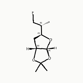 C[C@@H](CF)[C@@H]1C[C@H]2OC(C)(C)O[C@H]2O1